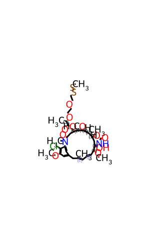 COc1cc2cc(c1Cl)N(C)C(=O)C[C@H](OC(=O)[C@H](C)OCCOCCSSC)[C@]1(C)O[C@H]1[C@H](C)[C@@H]1C[C@@](O)(NC(=O)O1)[C@H](OC)/C=C/C=C(\C)C2